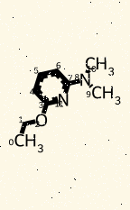 CCOc1[c]ccc(N(C)C)n1